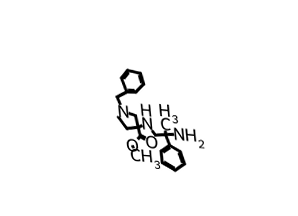 COC(=O)C1(NCC(C)(N)c2ccccc2)CCN(Cc2ccccc2)C1